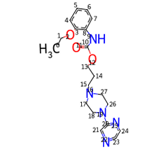 CCOc1ccccc1NC(=O)OCCCN1CCN(c2cnccn2)CC1